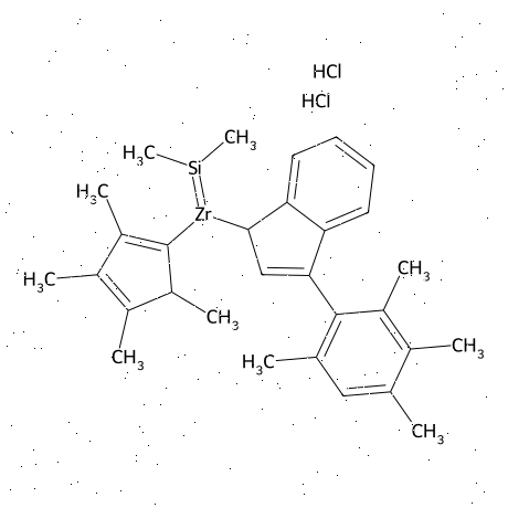 CC1=C(C)C(C)[C]([Zr]([CH]2C=C(c3c(C)cc(C)c(C)c3C)c3ccccc32)=[Si](C)C)=C1C.Cl.Cl